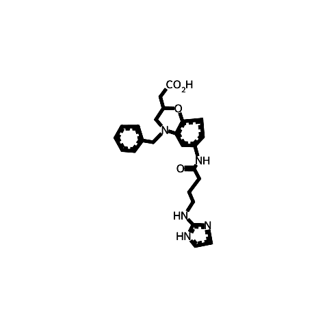 O=C(O)CC1CN(Cc2ccccc2)c2cc(NC(=O)CCCNc3ncc[nH]3)ccc2O1